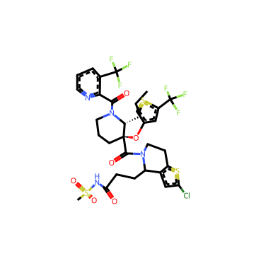 CCC[C@H]1N(C(=O)c2ncccc2C(F)(F)F)CCC[C@@]1(Oc1csc(C(F)(F)F)c1)C(=O)N1CCc2sc(Cl)cc2C1CCC(=O)NS(C)(=O)=O